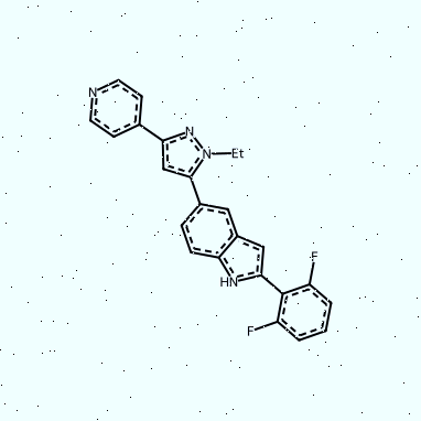 CCn1nc(-c2ccncc2)cc1-c1ccc2[nH]c(-c3c(F)cccc3F)cc2c1